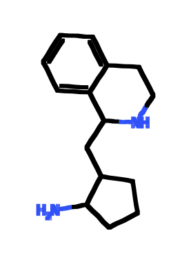 NC1CCCC1CC1NCCc2ccccc21